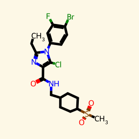 CCc1nc(C(=O)NCC2CCC(S(C)(=O)=O)CC2)c(Cl)n1-c1ccc(Br)c(F)c1